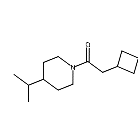 CC(C)C1CCN(C(=O)CC2CCC2)CC1